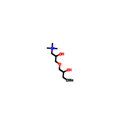 COCC(O)COCC(O)C[N+](C)(C)C